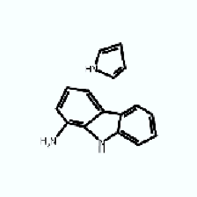 Nc1cccc2c1[nH]c1ccccc12.c1cc[nH]c1